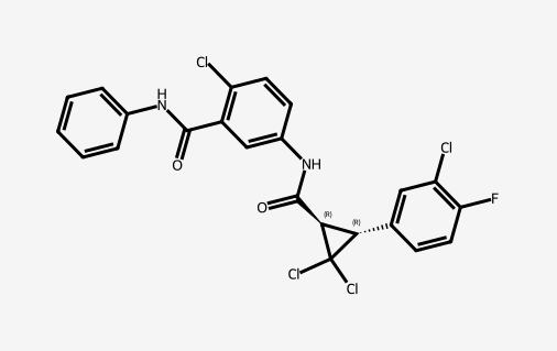 O=C(Nc1ccccc1)c1cc(NC(=O)[C@H]2[C@H](c3ccc(F)c(Cl)c3)C2(Cl)Cl)ccc1Cl